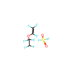 FC(F)=C(F)OC(F)(F)C(F)F.O=S(=O)(F)F